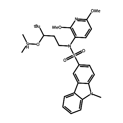 COc1ccc(N(CCC(O[SiH](C)C)C(C)(C)C)S(=O)(=O)c2ccc3c(c2)c2ccccc2n3C)c(OC)n1